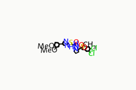 COc1ccc(-c2cnc(SCC(=O)NC[C@](Cc3ccc(Cl)c(Cl)c3)(C3CCCN3)S(C)(=O)=O)nc2)cc1OC